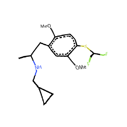 COc1cc(SC(F)F)c(OC)cc1CC(C)NCC1CC1